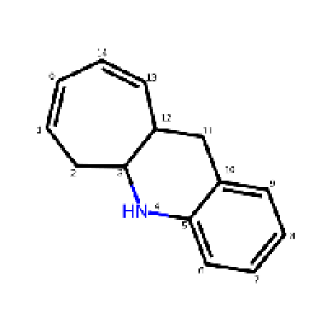 C1=CCC2Nc3ccccc3CC2C=C1